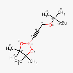 CC1(C)OB(C#CCO[Si](C)(C)C(C)(C)C)OC1(C)C